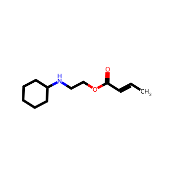 C/C=C/C(=O)OCCNC1CCCCC1